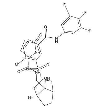 O=C1CC[C@@H](C(=O)NC[C@@]2(O)C3CC[C@H]2C[C@H](S(=O)(=O)c2cc(C(=O)Nc4cc(F)c(F)c(F)c4)ccc2Cl)C3)N1